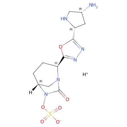 N[C@H]1CN[C@@H](c2nnc([C@@H]3CC[C@@H]4CN3C(=O)N4OS(=O)(=O)[O-])o2)C1.[H+]